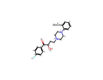 COc1ccccc1N1CCN(CCC(O)C(=O)c2ccc(F)cc2)CC1